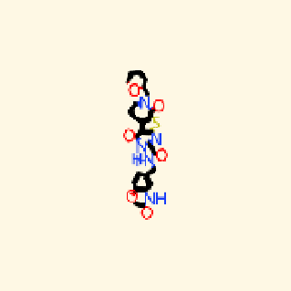 O=C1COc2ccc(CNC(=O)c3nc4sc5c(c4c(=O)[nH]3)CCCN(CC3CCCCO3)C5=O)cc2N1